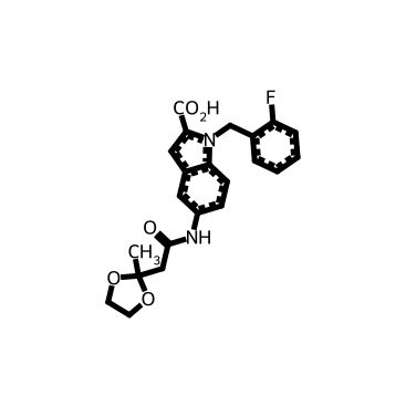 CC1(CC(=O)Nc2ccc3c(c2)cc(C(=O)O)n3Cc2ccccc2F)OCCO1